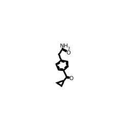 NC(=O)Cc1ccc(C(=O)C2CC2)cc1